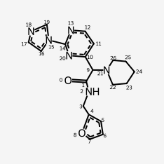 O=C(NCc1ccco1)C(c1ccnc(-n2ccnc2)n1)N1CCCCC1